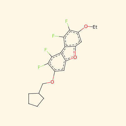 CCOc1cc2oc3cc(OCC4CCCC4)c(F)c(F)c3c2c(F)c1F